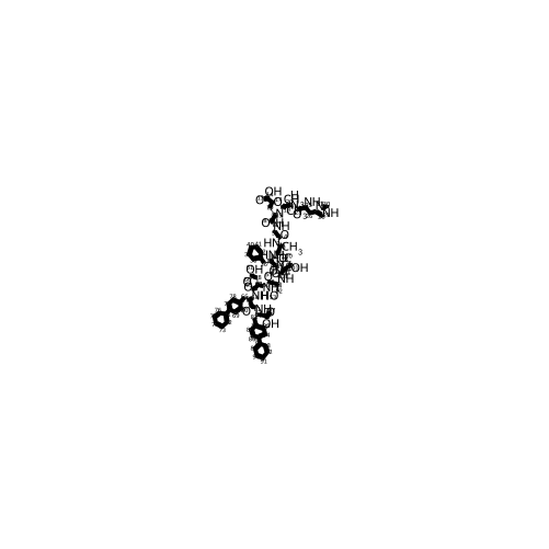 C[C@H](NC(=O)CNC(=O)[C@H](CCC(=O)O)NC(=O)C(C)(C)NC(=O)[C@@H](N)Cc1c[nH]cn1)C(=O)N[C@@H](Cc1ccccc1)C(=O)N[C@](F)(C(=O)N[C@@H](CO)C(=O)N[C@@H](CC(=O)O)C(=O)N[C@@H](Cc1ccc(-c2ccccc2)cc1)C(=O)N[C@@H](Cc1ccc(-c2ccccc2)cc1)C(=O)O)[C@@H](C)O